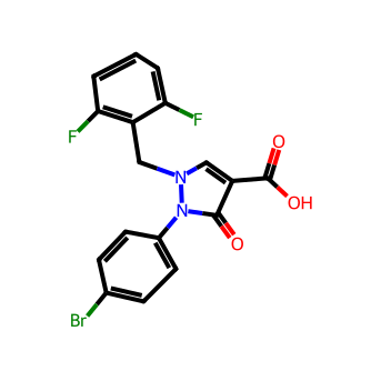 O=C(O)c1cn(Cc2c(F)cccc2F)n(-c2ccc(Br)cc2)c1=O